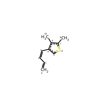 C=C/C=C\c1csc(C)c1C